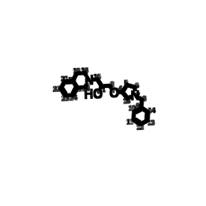 OC(COC1CCN(Cc2ccccc2)C1)CN1CCc2ccccc2C1